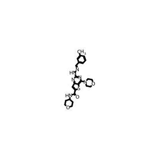 Cc1cccc(/C=N/Nc2nc(N3CCOCC3)c3sc(C(=O)NC4CCOCC4)cc3n2)c1